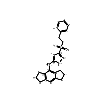 O=S(=O)(CCc1ccccn1)c1n[nH]c(Nc2c3c(cc4c2CCC4)CCC3)n1